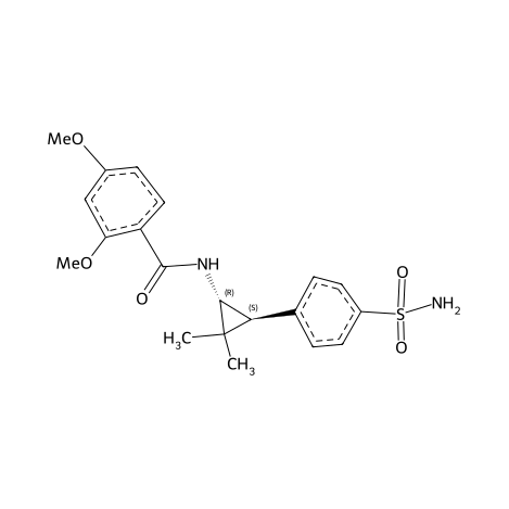 COc1ccc(C(=O)N[C@@H]2[C@@H](c3ccc(S(N)(=O)=O)cc3)C2(C)C)c(OC)c1